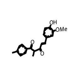 COc1cc(/C=C/C(=O)C(C)C(=O)c2ccc(C)cc2)ccc1O